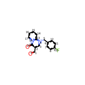 O=Cc1c[n+](Cc2ccc(F)cc2)c2ccccn2c1=O